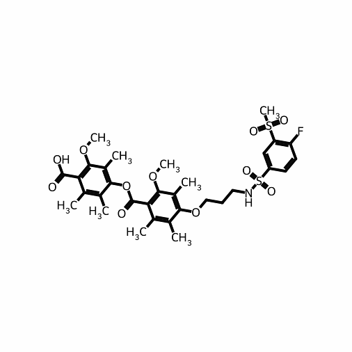 COc1c(C)c(OC(=O)c2c(C)c(C)c(OCCCNS(=O)(=O)c3ccc(F)c(S(C)(=O)=O)c3)c(C)c2OC)c(C)c(C)c1C(=O)O